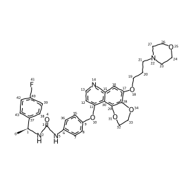 C[C@H](NC(=O)Nc1ccc(Oc2ccnc3cc(OCCCN4CCOCC4)c4c(c23)OCCO4)cc1)c1ccc(F)cc1